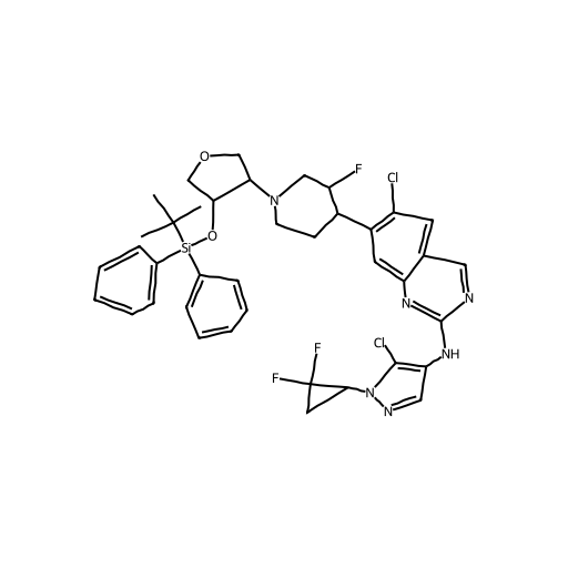 CC(C)(C)[Si](OC1COCC1N1CCC(c2cc3nc(Nc4cnn(C5CC5(F)F)c4Cl)ncc3cc2Cl)C(F)C1)(c1ccccc1)c1ccccc1